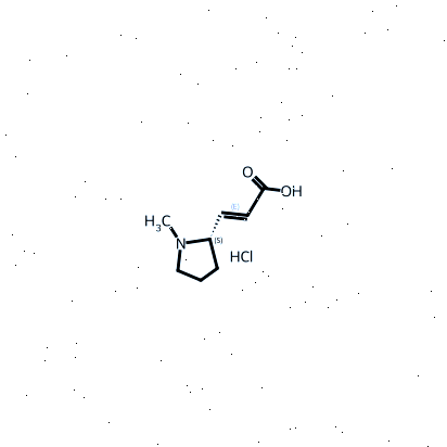 CN1CCC[C@H]1/C=C/C(=O)O.Cl